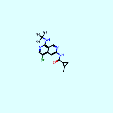 [2H]C([2H])([2H])Nc1ncc(Br)c2cc(NC(=O)[C@H]3C[C@H]3C)ncc12